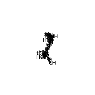 C#Cc1ccc(CNC(=O)[C@@H]2C[C@@H](O)CN2C(=O)[C@@H](NC(=O)N2CC3(CC(N4CCC(c5cnc(N6CCC7Nc8nnc(-c9ccccc9O)cc8C7[C@H]6CO)nc5)CC4)C3)C2)C(C)(C)C)cc1